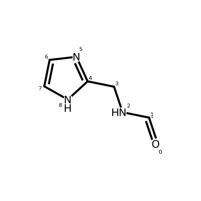 O=[C]NCc1ncc[nH]1